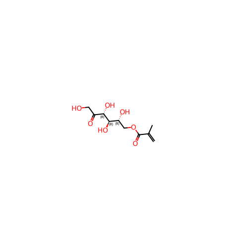 C=C(C)C(=O)OC[C@@H](O)[C@@H](O)[C@@H](O)C(=O)CO